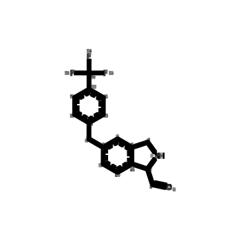 O=CC1NCc2cc(Cc3ccc(C(F)(F)F)cc3)ccc21